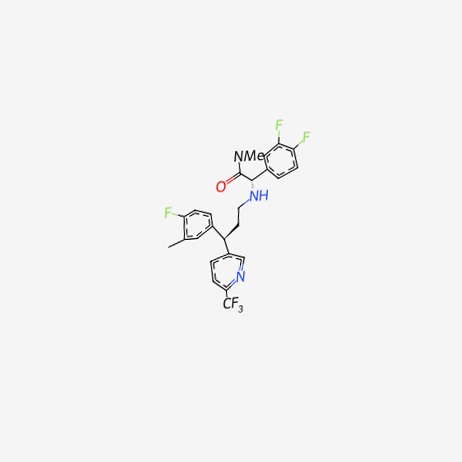 CNC(=O)[C@@H](NCC[C@@H](c1ccc(C(F)(F)F)nc1)c1ccc(F)c(C)c1)c1ccc(F)c(F)c1